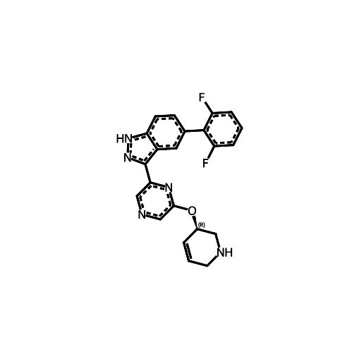 Fc1cccc(F)c1-c1ccc2[nH]nc(-c3cncc(O[C@@H]4C=CCNC4)n3)c2c1